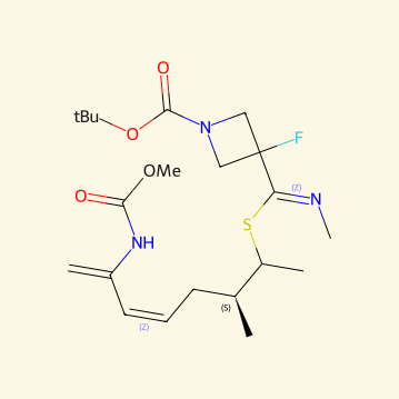 C=C(/C=C\C[C@H](C)C(C)S/C(=N\C)C1(F)CN(C(=O)OC(C)(C)C)C1)NC(=O)OC